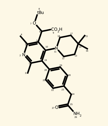 Cc1nc(C)c(C(OC(C)(C)C)C(=O)O)c(N2CCC(C)(C)CC2)c1-c1ccc(CC(N)=O)cc1